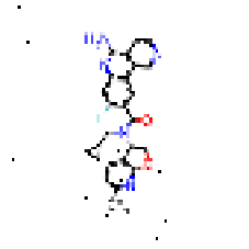 Nc1nc2cc(F)c(C(=O)N(CC3CC3)[C@@H]3COc4nc(C(F)(F)F)ccc43)cc2c2cnccc12